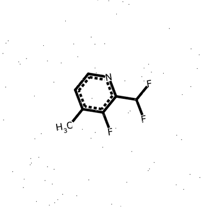 Cc1ccnc(C(F)F)c1F